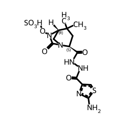 CC1(C)C[C@@H](C(=O)NNC(=O)c2csc(N)n2)N2C[C@@H]1N(OS(=O)(=O)O)C2=O